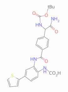 CC(C)(C)OC(=O)NC(C(N)=O)c1ccc(C(=O)Nc2cc(-c3cccs3)ccc2NC(=O)O)cc1